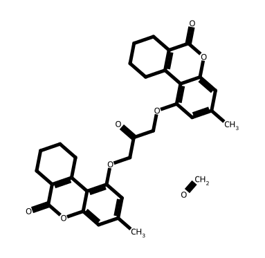 C=O.Cc1cc(OCC(=O)COc2cc(C)cc3oc(=O)c4c(c23)CCCC4)c2c3c(c(=O)oc2c1)CCCC3